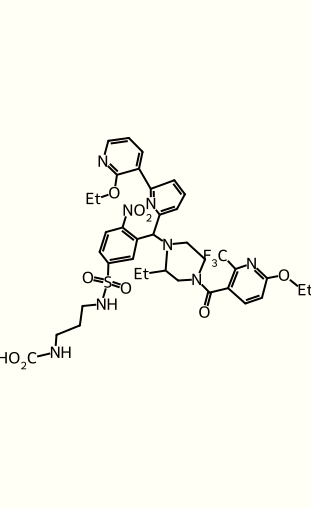 CCOc1ccc(C(=O)N2CCN(C(c3cccc(-c4cccnc4OCC)n3)c3cc(S(=O)(=O)NCCCNC(=O)O)ccc3[N+](=O)[O-])C(CC)C2)c(C(F)(F)F)n1